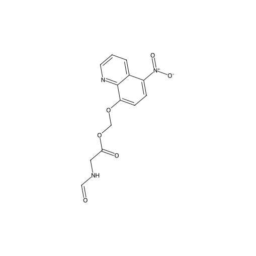 O=CNCC(=O)OCOc1ccc([N+](=O)[O-])c2cccnc12